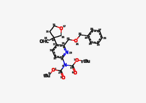 CC(C)(C)OC(=O)N(C(=O)OC(C)(C)C)c1ccc(C2(C=O)CCOC2)c(COCc2ccccc2)n1